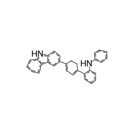 C1=C(c2ccc3[nH]c4ccccc4c3c2)CCC(c2ccccc2Nc2ccccc2)=C1